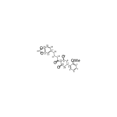 COc1ccccc1C1CC(=O)C(C(=O)CCCc2ccc3c(c2)OCO3)C(=O)C1